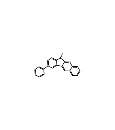 Cn1c2ccc(-c3ccccc3)cc2c2cc3ccccc3cc21